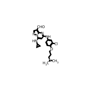 CN(C)CCCOc1ccc(Nc2cc(NC3CC3)n3ncc(C=O)c3n2)cc1Cl